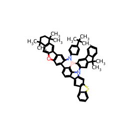 CC(C)(C)c1ccc(N2B3c4cc5c(cc4-n4c6cc7sc8ccccc8c7cc6c6ccc(c3c64)-c3cc4oc6cc7c(cc6c4cc32)C(C)(C)CCC7(C)C)C(C)(C)c2ccccc2-5)cc1